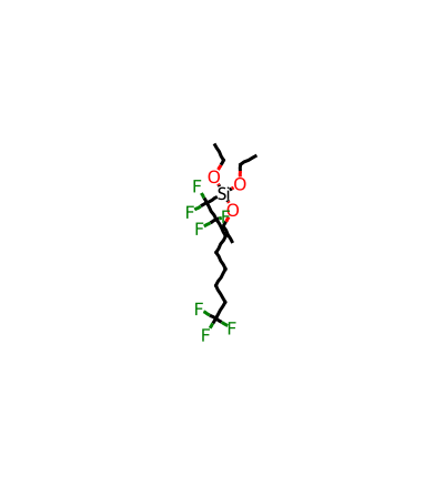 CCO[Si](OCC)(OCC)C(F)(F)C(F)(F)CCCCCC(F)(F)F